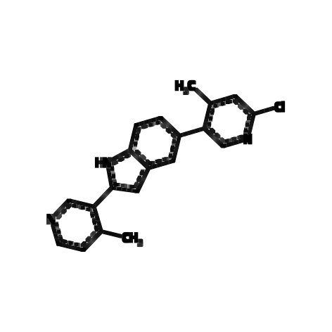 Cc1cc(Cl)ncc1-c1ccc2[nH]c(-c3cnccc3C)cc2c1